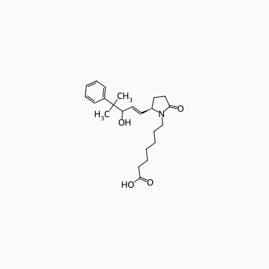 CC(C)(c1ccccc1)C(O)/C=C/[C@H]1CCC(=O)N1CCCCCCC(=O)O